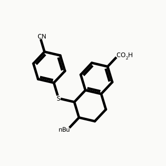 CCCCC1CCc2cc(C(=O)O)ccc2C1Sc1ccc(C#N)cc1